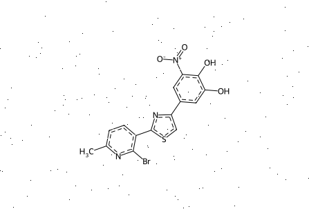 Cc1ccc(-c2nc(-c3cc(O)c(O)c([N+](=O)[O-])c3)cs2)c(Br)n1